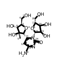 C[C@]1(O)[CH]O[C@H](CO)[C@H]1O.Nc1ccn([C@@H]2O[C@H](CO)C(O)C2O)c(=O)n1